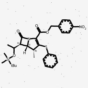 CC(O[Si](C)(C)C(C)(C)C)[C@H]1C(=O)N2C(C(=O)OCc3ccc([N+](=O)[O-])cc3)=C(Sc3ccccc3)[C@H](C)[C@H]12